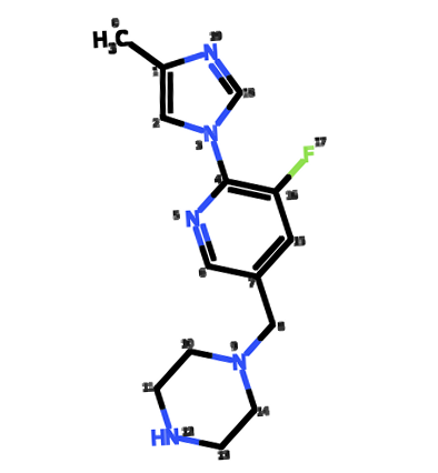 Cc1cn(-c2ncc(CN3CCNCC3)cc2F)cn1